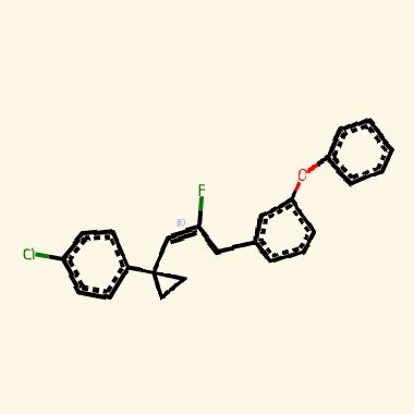 F/C(=C/C1(c2ccc(Cl)cc2)CC1)Cc1cccc(Oc2ccccc2)c1